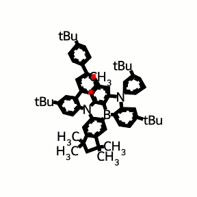 Cc1cc2c3c(c1)N(c1ccc(C(C)(C)C)cc1-c1cccc(-c4ccc(C(C)(C)C)cc4)c1)c1cc4c(cc1B3c1ccc(C(C)(C)C)cc1N2c1cccc(C(C)(C)C)c1)C(C)(C)CC4(C)C